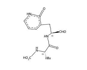 CCCC[C@H](NC(=O)O)C(=O)N[C@H](C=O)Cc1ccc[nH]c1=O